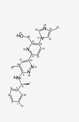 Cc1cccc([C@H](C)Nc2nnc(-c3ccc(-n4cnc(C)c4)c(CO)n3)cc2C)c1